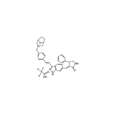 O=C(O)C(F)(F)F.O=C1NCC(c2ccccc2)/C1=C\c1ccc2c(/C=C/c3ccc(CN4CC5CCC(C4)O5)cc3)n[nH]c2c1